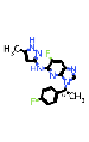 Cc1cc(Nc2nc3c(cc2F)ncn3[C@@H](C)c2ccc(F)cc2)n[nH]1